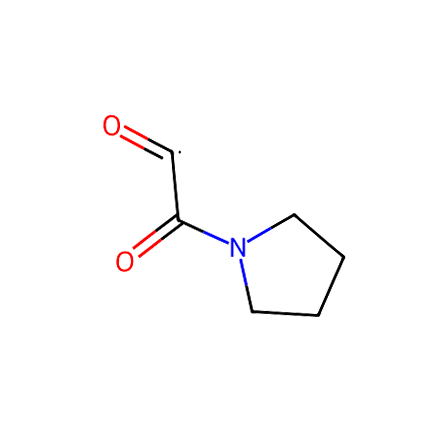 O=[C]C(=O)N1CCCC1